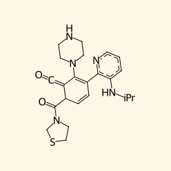 CC(C)Nc1cccnc1C1=C(N2CCNCC2)C(=C=O)C(C(=O)N2CCSC2)C=C1